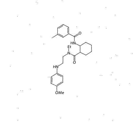 CCN(CCNc1ccc(OC)cc1)C(=O)C1CCCCC1NC(=O)c1cccc(C)c1